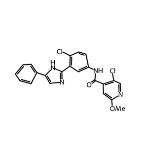 COc1cc(C(=O)Nc2ccc(Cl)c(-c3ncc(-c4ccccc4)[nH]3)c2)c(Cl)cn1